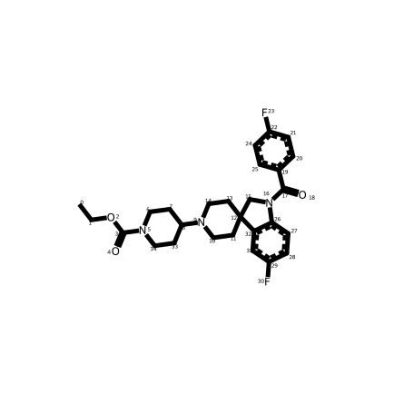 CCOC(=O)N1CCC(N2CCC3(CC2)CN(C(=O)c2ccc(F)cc2)c2ccc(F)cc23)CC1